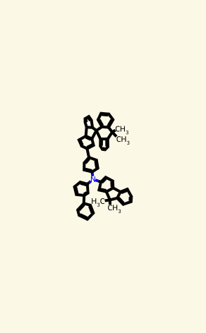 CC1(C)c2ccccc2-c2ccc(N(c3ccc(-c4ccc5c(c4)C4(c6ccccc6C(C)(C)c6ccccc64)C4C=CC=CC54)cc3)c3cccc(-c4ccccc4)c3)cc21